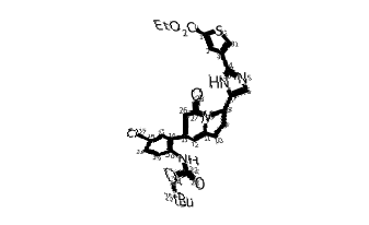 CCOC(=O)c1cc(-c2ncc(C3CCc4cc(-c5cc(Cl)ccc5NC(=O)OC(C)(C)C)cc(=O)n43)[nH]2)cs1